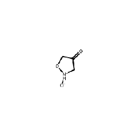 O=C1CO[NH+]([O-])C1